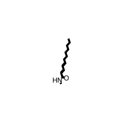 CCCCCCC/C=C/C=C/C(=O)NC